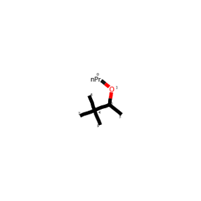 CCCOC(C)C(C)(C)C